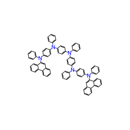 c1ccc(N(c2ccc(N(c3ccccc3)c3ccc(N(c4ccccc4)c4cc5ccccc5c5ccccc45)cc3)cc2)c2ccc(N(c3ccccc3)c3ccc(N(c4ccccc4)c4cc5ccccc5c5ccccc45)cc3)cc2)cc1